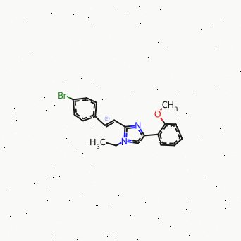 CCn1cc(-c2ccccc2OC)nc1/C=C/c1ccc(Br)cc1